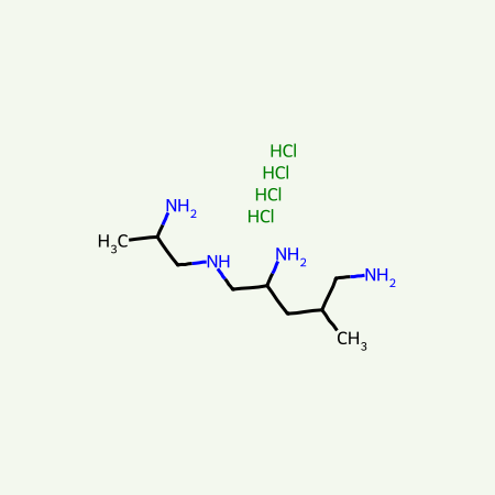 CC(N)CNCC(N)CC(C)CN.Cl.Cl.Cl.Cl